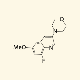 COc1cc(F)c2ncc(N3CCOCC3)cc2c1